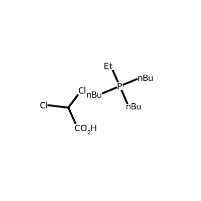 CCCC[P](CC)(CCCC)CCCC.O=C(O)C(Cl)Cl